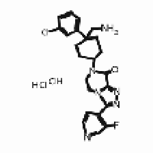 Cl.Cl.NCC1(c2cccc(Cl)c2)CCC(N2CCn3c(nnc3-c3ccncc3F)C2=O)CC1